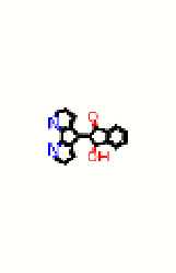 O=C1C(=C2c3cccnc3-c3ncccc32)C(O)c2ccccc21